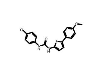 COc1ccc(-c2ccc(NC(=O)Nc3ccc(Cl)cc3)s2)cc1